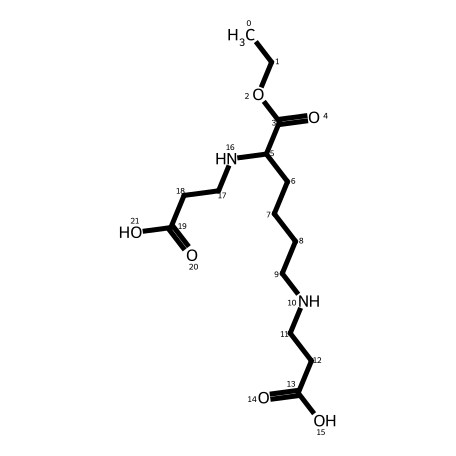 CCOC(=O)C(CCCCNCCC(=O)O)NCCC(=O)O